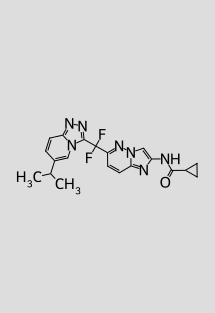 CC(C)c1ccc2nnc(C(F)(F)c3ccc4nc(NC(=O)C5CC5)cn4n3)n2c1